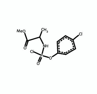 COC(=O)C(C)NP(=O)(Cl)Oc1ccc(Cl)cc1